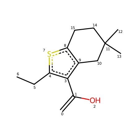 C=C(O)c1c(CC)sc2c1CC(C)(C)CC2